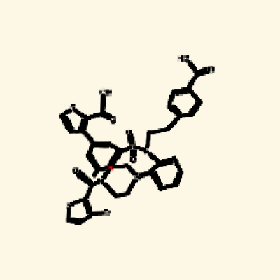 Cc1cc(-c2ccsc2C(=O)O)cc(S(=O)(=O)N(CCc2ccc(C(=O)O)cc2)c2ccccc2N2CCN(C(=O)c3sccc3Br)CC2)c1